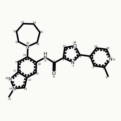 Cc1cc(-c2nc(C(=O)Nc3cc4cn(C)nc4cc3N3CCCCCC3)co2)ccn1